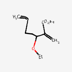 C=CCC(OCC)C(=C)C(=O)O